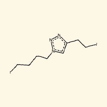 ICCCCn1cc(CCI)nn1